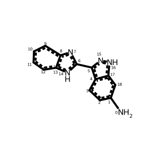 Nc1ccc2c(-c3nc4ccccc4[nH]3)n[nH]c2c1